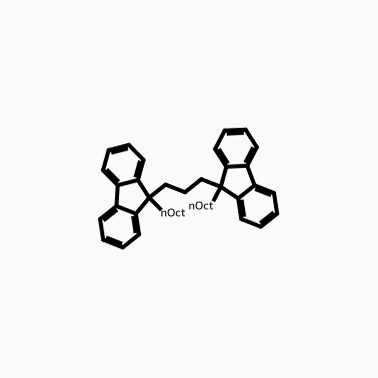 CCCCCCCCC1(CCCC2(CCCCCCCC)c3ccccc3-c3ccccc32)c2ccccc2-c2ccccc21